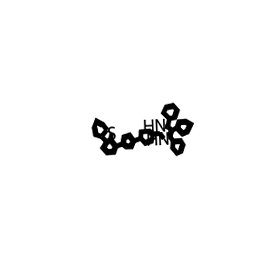 C1=CCCC(C2=C(c3ccccc3)C(C3C=CC=CC3)NC(C3=CCC(c4ccc(-c5cccc6c5SC5C=CC=CC65)cc4)C=C3)N2)=C1